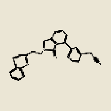 N#CCc1cccc(-c2cccc3c2C(=O)N(CCc2ccc4ccccc4n2)C3)c1